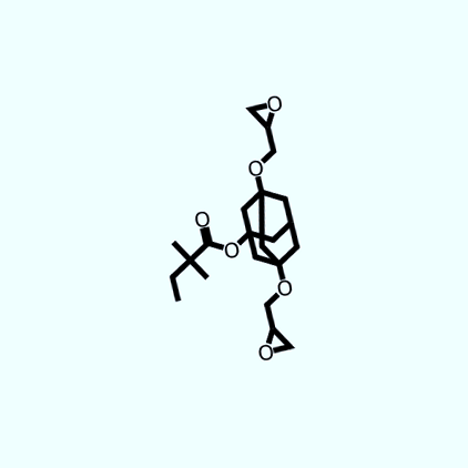 CCC(C)(C)C(=O)OC12CC3CC(OCC4CO4)(CC(OCC4CO4)(C3)C1)C2